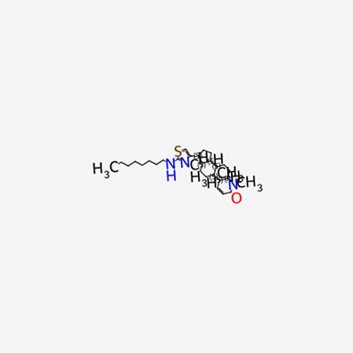 CCCCCCCCNc1nc([C@H]2CC[C@H]3[C@@H]4CC[C@H]5N(C)C(=O)C=C[C@]5(C)[C@H]4CC[C@]23C)cs1